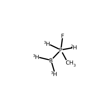 [2H]P([3H])(C)(F)B([3H])[3H]